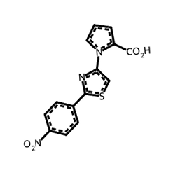 O=C(O)c1cccn1-c1csc(-c2ccc([N+](=O)[O-])cc2)n1